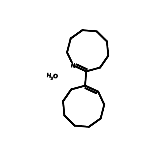 C1=C(C2=NCCCCCCC2)CCCCCCC1.O